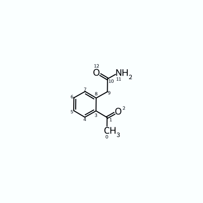 CC(=O)c1ccccc1CC(N)=O